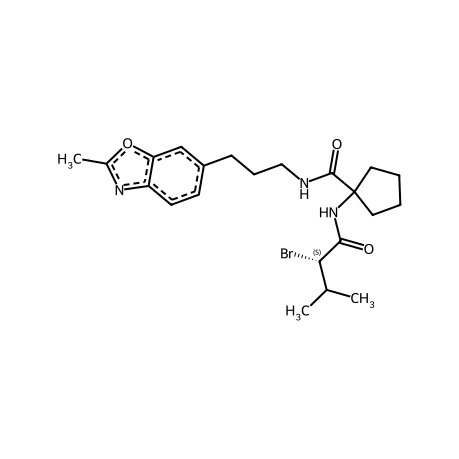 Cc1nc2ccc(CCCNC(=O)C3(NC(=O)[C@@H](Br)C(C)C)CCCC3)cc2o1